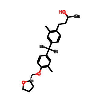 CCC(CC)(c1ccc(CCC(O)C(C)(C)C)c(C)c1)c1ccc(OC[C@@H]2CCCO2)c(C)c1